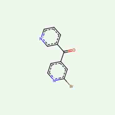 O=C(c1cccnc1)c1ccnc(Br)c1